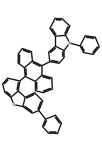 c1ccc(-c2ccc3c(c2)oc2cccc(-c4c5ccccc5c(-c5ccc6c(c5)c5ccccc5n6-c5ccccc5)c5ccccc45)c23)cc1